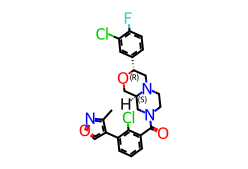 Cc1nocc1-c1cccc(C(=O)N2CCN3C[C@@H](c4ccc(F)c(Cl)c4)OC[C@@H]3C2)c1Cl